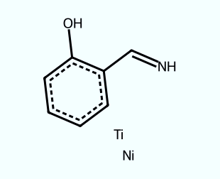 N=Cc1ccccc1O.[Ni].[Ti]